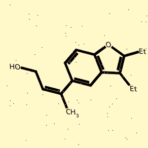 CCc1oc2ccc(/C(C)=C\CO)cc2c1CC